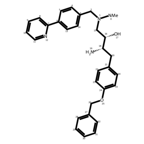 CNN(Cc1ccc(-c2ccccn2)cc1)C[C@H](O)[C@@H](N)Cc1ccc(OCc2ccccc2)cc1